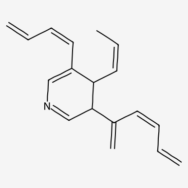 C=C/C=C\C(=C)C1C=NC=C(/C=C\C=C)C1/C=C\C